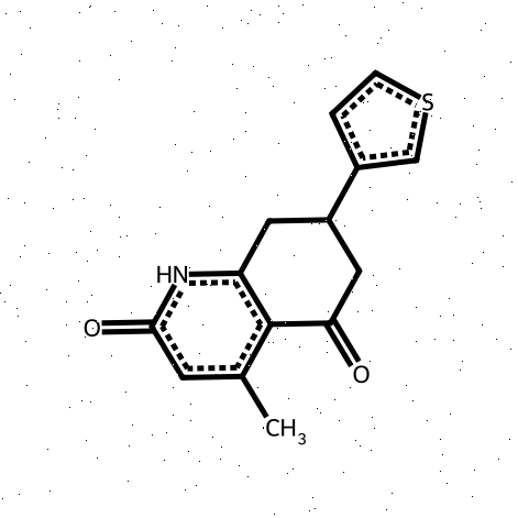 Cc1cc(=O)[nH]c2c1C(=O)CC(c1ccsc1)C2